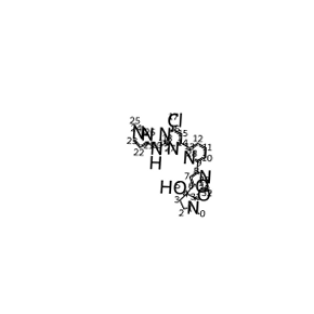 CN1CC[C@@](O)(c2cc(-c3cccc(-c4cc(Cl)nc(Nc5ccn(C)n5)n4)n3)no2)C1=O